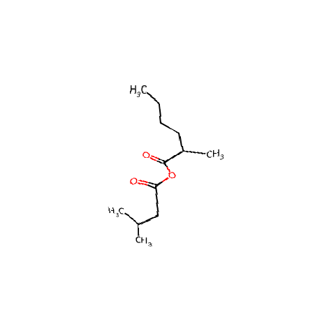 CCCCC(C)C(=O)OC(=O)CC(C)C